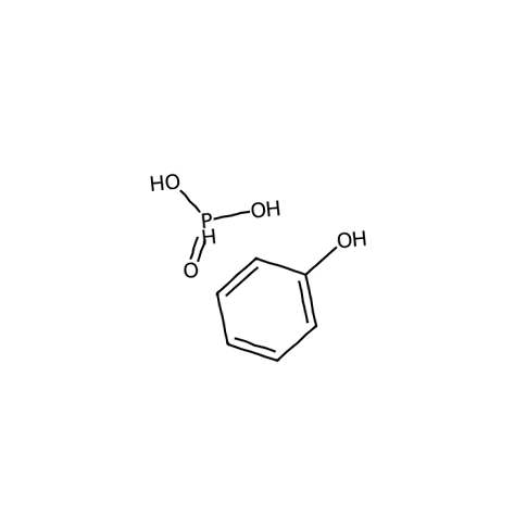 O=[PH](O)O.Oc1ccccc1